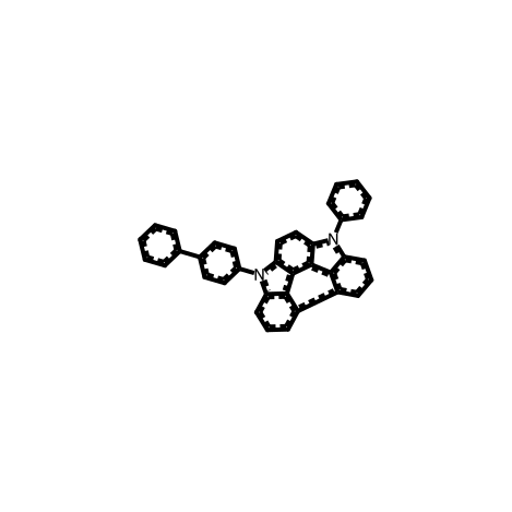 c1ccc(-c2ccc(-n3c4cccc5c6cccc7c6c6c(c54)c3ccc6n7-c3ccccc3)cc2)cc1